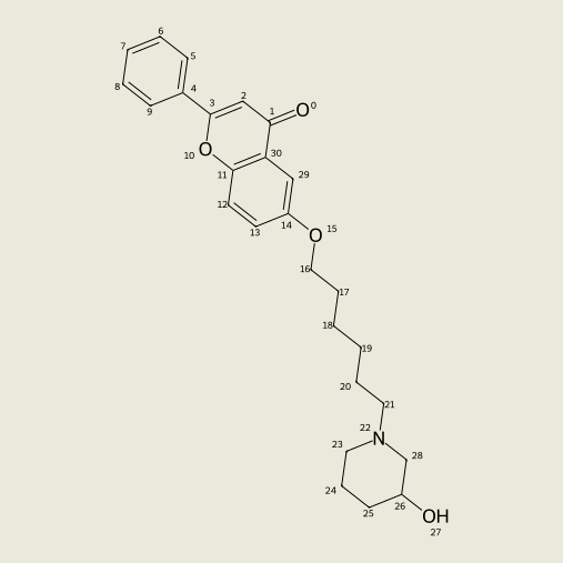 O=c1cc(-c2ccccc2)oc2ccc(OCCCCCCN3CCCC(O)C3)cc12